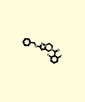 O=C(c1c(F)cccc1F)N1CCn2nc(OCc3ccccc3)cc2C1